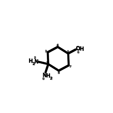 NC1(N)CCC(O)CC1